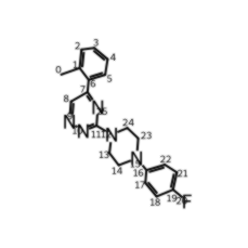 Cc1ccccc1-c1cnnc(N2CCN(c3ccc(F)cc3)CC2)n1